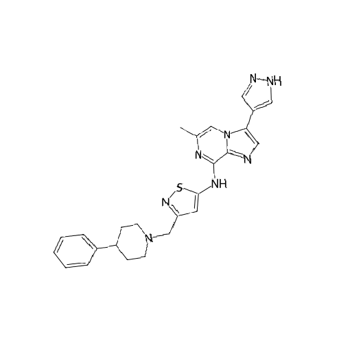 Cc1cn2c(-c3cn[nH]c3)cnc2c(Nc2cc(CN3CCC(c4ccccc4)CC3)ns2)n1